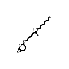 CC(=O)CCCCCNC(=O)CCCCOC1CCC2OC2O1